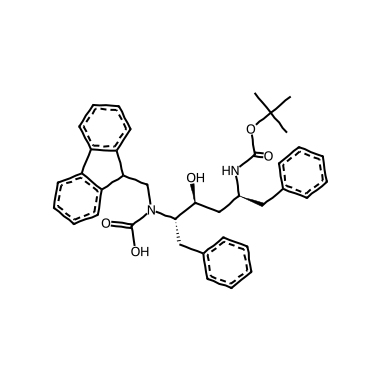 CC(C)(C)OC(=O)N[C@@H](Cc1ccccc1)C[C@H](O)[C@H](Cc1ccccc1)N(CC1c2ccccc2-c2ccccc21)C(=O)O